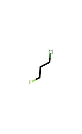 FC[CH]CCl